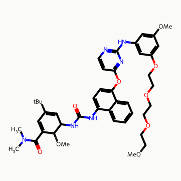 COCCOCCOCCOc1cc(Nc2nccc(Oc3ccc(NC(=O)NC4C=C(C(C)(C)C)C=C(C(=O)N(C)C)C4OC)c4ccccc34)n2)cc(OC)c1